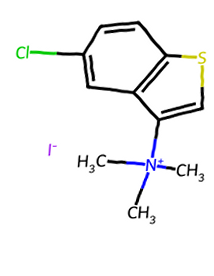 C[N+](C)(C)c1csc2ccc(Cl)cc12.[I-]